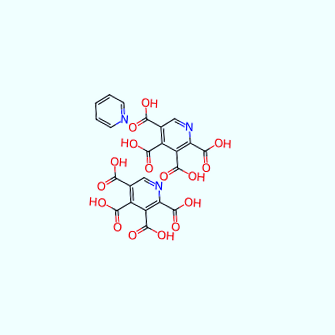 O=C(O)c1cnc(C(=O)O)c(C(=O)O)c1C(=O)O.O=C(O)c1cnc(C(=O)O)c(C(=O)O)c1C(=O)O.c1ccncc1